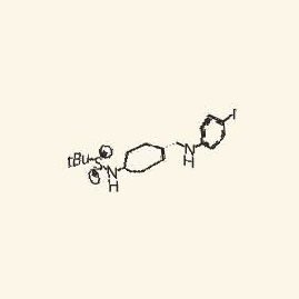 CC(C)(C)S(=O)(=O)N[C@H]1CC[C@H](CNc2ccc(I)cc2)CC1